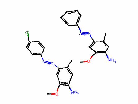 COc1cc(/N=N/c2ccc(Cl)cc2)c(C)cc1N.COc1cc(/N=N/c2ccccc2)c(C)cc1N